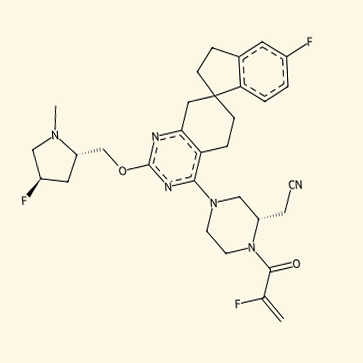 C=C(F)C(=O)N1CCN(c2nc(OC[C@@H]3C[C@@H](F)CN3C)nc3c2CCC2(CCc4cc(F)ccc42)C3)C[C@@H]1CC#N